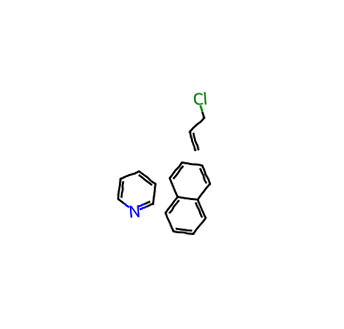 C=CCCl.c1ccc2ccccc2c1.c1ccncc1